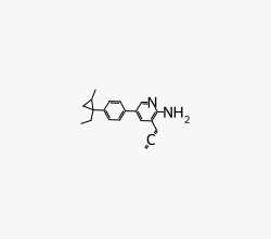 C=C=Cc1cc(-c2ccc(C3(CC)CC3C)cc2)cnc1N